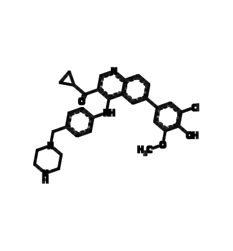 COc1cc(-c2ccc3ncc(C(=O)C4CC4)c(Nc4ccc(CN5CCNCC5)cc4)c3c2)cc(Cl)c1O